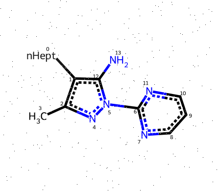 CCCCCCCc1c(C)nn(-c2ncccn2)c1N